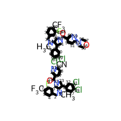 CN(Cc1ccc(C(F)(F)F)c(F)c1)C1CN(C(=O)c2ccc(C#N)nc2)CC1c1ccc(Cl)c(Cl)c1.CN(Cc1ccc(C(F)(F)F)c(F)c1)C1CN(C(=O)c2ccc(N3CCOCC3)nc2)CC1c1ccc(Cl)c(Cl)c1